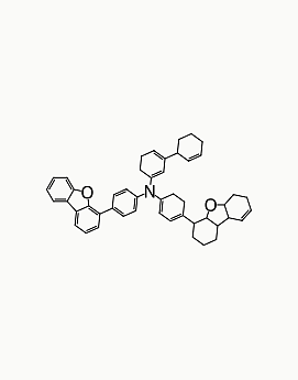 C1=CC(C2=CCCC(N(C3=CC=C(C4CCCC5C6C=CCCC6OC45)CC3)c3ccc(-c4cccc5c4oc4ccccc45)cc3)=C2)CCC1